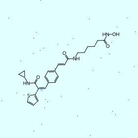 O=C(C=Cc1ccc(/C=C(\C(=O)NC2CC2)c2cccs2)cc1)NCCCCCC(=O)NO